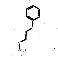 O=C(O)OCCSc1ccccc1